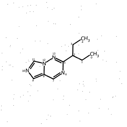 CCC(CC)c1ncc2cncn2n1